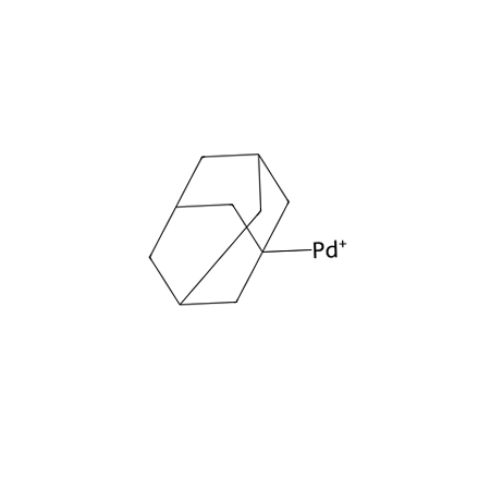 [Pd+][C]12CC3CC(CC(C3)C1)C2